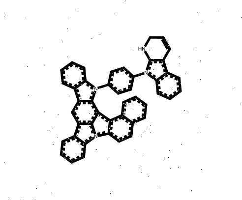 C1=Cc2c(n(-c3ccc(-n4c5ccccc5c5cc6c7ccccc7n7c8ccc9ccccc9c8c(c54)c67)cc3)c3ccccc23)NC1